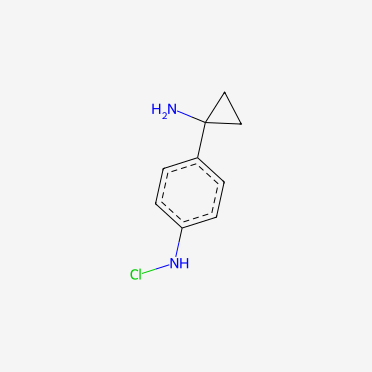 NC1(c2ccc(NCl)cc2)CC1